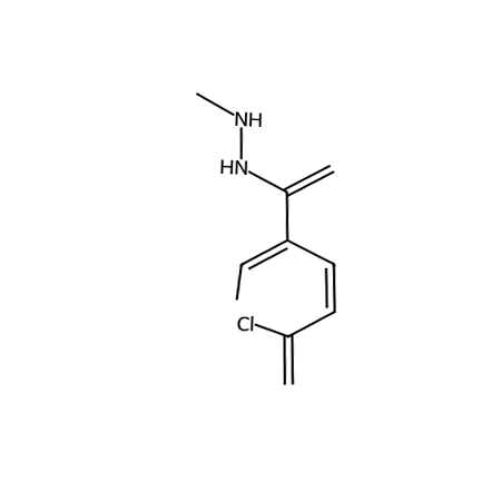 C=C(Cl)/C=C\C(=C/C)C(=C)NNC